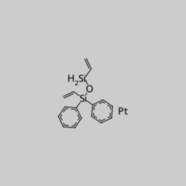 C=C[SiH2]O[Si](C=C)(c1ccccc1)c1ccccc1.[Pt]